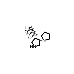 C1CCNC1.C1CCNC1.CC(=O)[O-].CC(=O)[O-].CC(=O)[O-].[Lu+3]